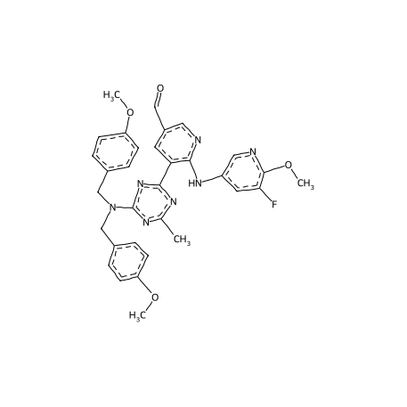 COc1ccc(CN(Cc2ccc(OC)cc2)c2nc(C)nc(-c3cc(C=O)cnc3Nc3cnc(OC)c(F)c3)n2)cc1